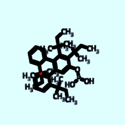 CCC(C)(C)c1ccccc1-c1cc(OP(O)O)c(C(C)(C)CC)c(C(C)(C)CC)c1-c1ccccc1C(C)(C)CC